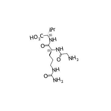 CC(C)[C@H](NC(=O)[C@H](CCCNC(N)=O)NC(=O)CN)C(=O)O